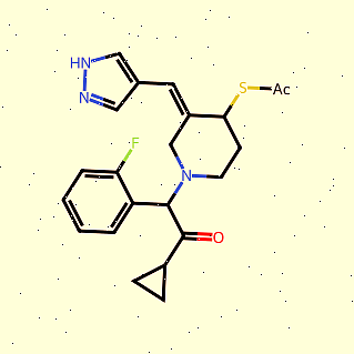 CC(=O)SC1CCN(C(C(=O)C2CC2)c2ccccc2F)C/C1=C\c1cn[nH]c1